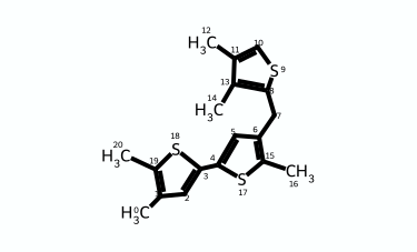 Cc1cc(-c2cc(Cc3scc(C)c3C)c(C)s2)sc1C